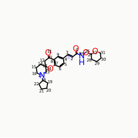 O=C(/C=C/c1ccc2c(c1)C(=O)CC1(CCCN(C3CCCC3)C1)O2)NOC1CCCCO1